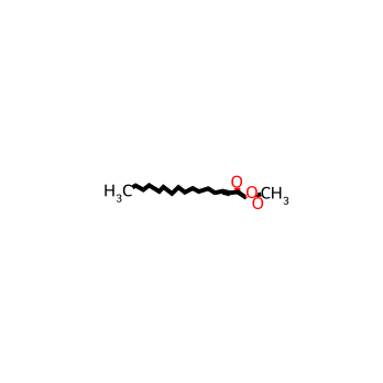 CCCCCCCCCCCCCC=CC(=O)COC(C)=O